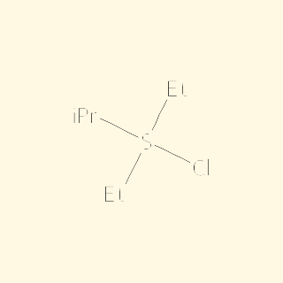 CCS(Cl)(CC)C(C)C